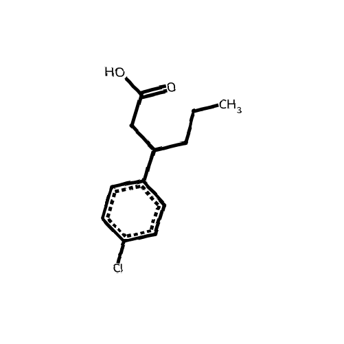 CCCC(CC(=O)O)c1ccc(Cl)cc1